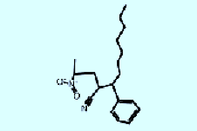 CCCCCCCC(c1cc[c]cc1)C(C#N)CC(C)[N+](=O)[O-]